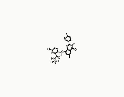 Cc1cc([C@@H](C)Nc2ccc(Cl)nc2C(=O)NS(C)(=O)=O)c2nc(-c3cnc(C)nc3)n(C)c(=O)c2c1